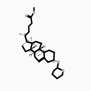 COC(=O)CCC[C@@H](C)[C@H]1CC[C@H]2[C@@H]3CC=C4C[C@@H](OC5CCCCO5)CC[C@]4(C)[C@H]3CC[C@]12C